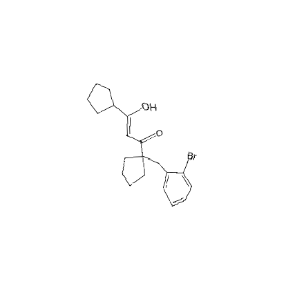 O=C(/C=C(\O)C1CCCC1)C1(Cc2ccccc2Br)CCCC1